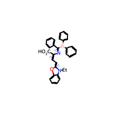 CCN1/C(=C/C=C(\N=C(\B(c2ccccc2)c2ccccc2)c2ccccc2)C(=O)O)Oc2ccccc21